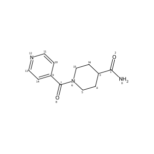 NC(=O)C1CCN(C(=O)c2ccncc2)CC1